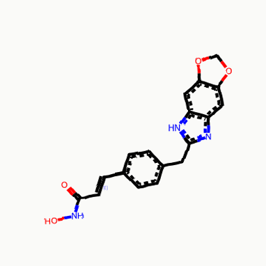 O=C(/C=C/c1ccc(Cc2nc3cc4c(cc3[nH]2)OCO4)cc1)NO